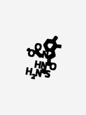 COC(=O)CN1C(C(=O)NC(N)=S)=CC2=C(C)C(C)=CCC21